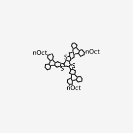 CCCCCCCCc1ccc2c(c1)c1ccccc1c1cc3sc4c(c3cc21)c1sc2cc3c5ccccc5c5cc(CCCCCCCC)ccc5c3cc2c1c1sc2cc3c5ccccc5c5cc(CCCCCCCC)ccc5c3cc2c41